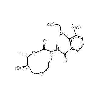 CCCC[C@@H]1COCC[C@H](NC(=O)c2nccc(OC)c2OCOC(C)=O)C(=O)O[C@H]1C